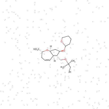 CC(C)C[Si](C)(C)OC[C@@H]1[C@H]2C=CC[C@H](C(=O)O)O[C@H]2C[C@H]1OC1CCCCO1